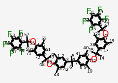 Cc1cc(C(C)(C)c2cc(C)c(OC(C)(C)c3cc(C)c(OC(C)(C)c4c(F)c(F)c(F)c(F)c4F)c(C)c3)c(C)c2)cc(C)c1OC(C)(C)c1cc(C)c(OC(C)(C)c2c(F)c(F)c(F)c(F)c2F)c(C)c1